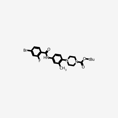 Cc1cc(NC(=O)c2ccc(Br)cc2F)ccc1N1CCN(C(=O)OC(C)(C)C)CC1